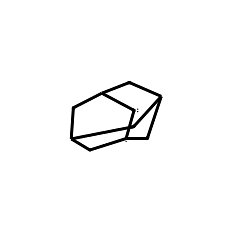 [C]1[C]2CC3CC1CC(C2)C3